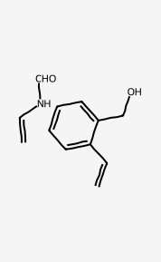 C=CNC=O.C=Cc1ccccc1CO